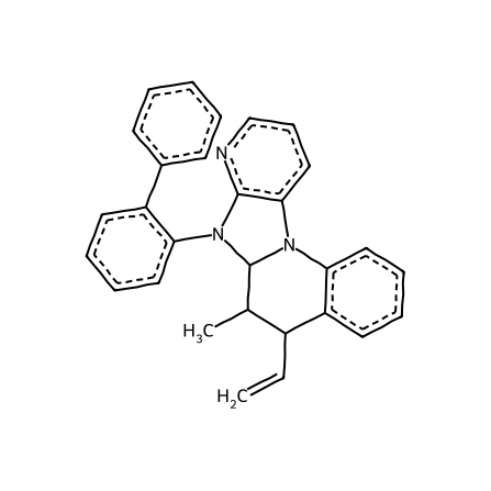 C=CC1c2ccccc2N2c3cccnc3N(c3ccccc3-c3ccccc3)C2C1C